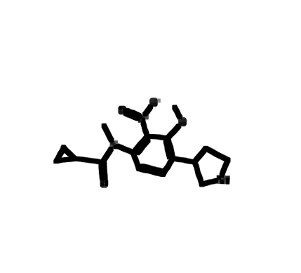 COc1c(C2CCNC2)ccc(N(C)C(=O)C2CC2)c1[N+](=O)[O-]